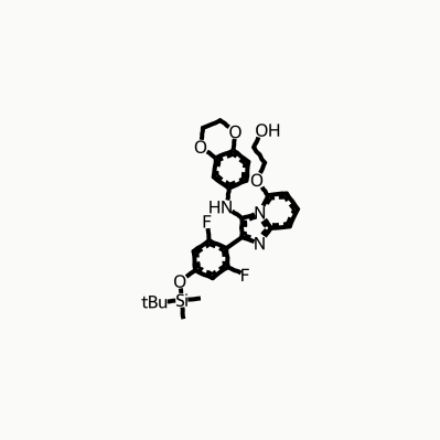 CC(C)(C)[Si](C)(C)Oc1cc(F)c(-c2nc3cccc(OCCO)n3c2Nc2ccc3c(c2)OCCO3)c(F)c1